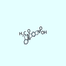 C[C@@H]1Cc2ccccc2CN1C(=O)c1cc2c(cc1Br)CN(C(=O)O)C2